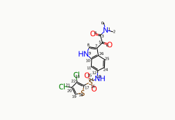 CN(C)C(=O)C(=O)c1c[nH]c2cc(NS(=O)(=O)c3scc(Cl)c3Cl)ccc12